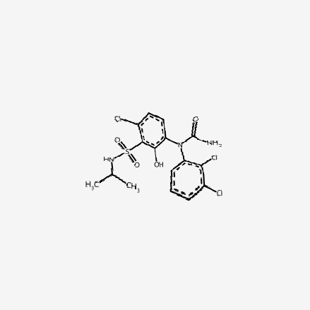 CC(C)NS(=O)(=O)c1c(Cl)ccc(N(C(N)=O)c2cccc(Cl)c2Cl)c1O